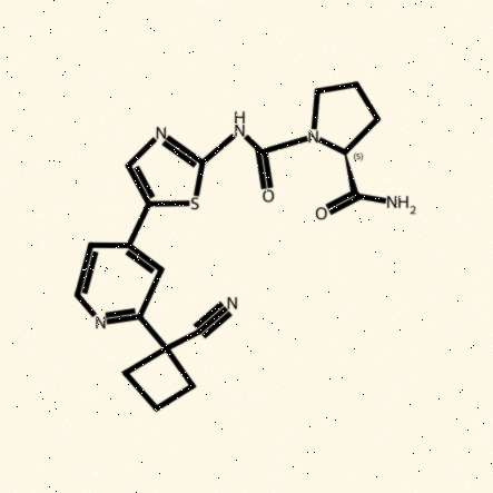 N#CC1(c2cc(-c3cnc(NC(=O)N4CCC[C@H]4C(N)=O)s3)ccn2)CCC1